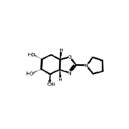 O[C@H]1[C@H](O)[C@H](O)C[C@@H]2OC(N3CCCC3)=N[C@H]12